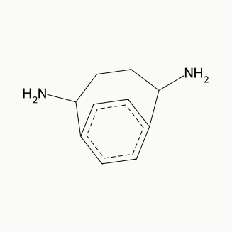 NC1CCC(N)c2ccc1cc2